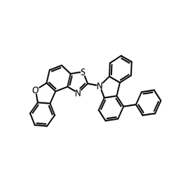 c1ccc(-c2cccc3c2c2ccccc2n3-c2nc3c(ccc4oc5ccccc5c43)s2)cc1